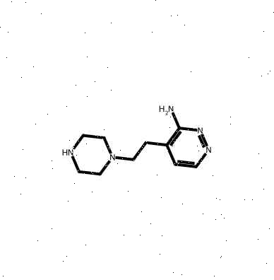 Nc1nnccc1CCN1CCNCC1